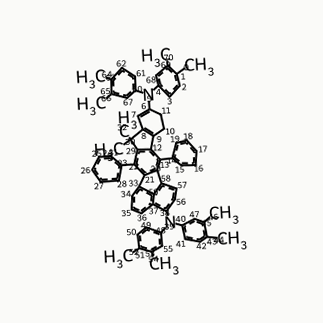 Cc1ccc(N(C2=CC3=C(CC2)c2c(-c4ccccc4)c4c(c(-c5ccccc5)c2C3(C)C)-c2cccc3c(N(c5ccc(C)c(C)c5)c5ccc(C)c(C)c5)ccc-4c23)c2ccc(C)c(C)c2)cc1C